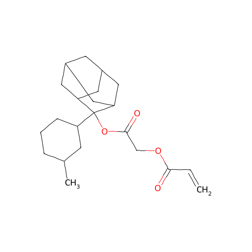 C=CC(=O)OCC(=O)OC1(C2CCCC(C)C2)C2CC3CC(C2)CC1C3